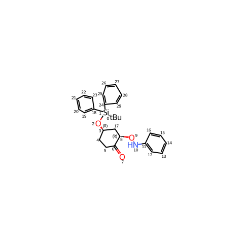 CC(C)(C)[Si](O[C@@H]1CCC(=O)[C@H](ONc2ccccc2)C1)(c1ccccc1)c1ccccc1